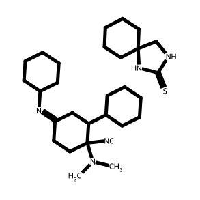 S=C1NCC2(CCCCC2)N1.[C-]#[N+]C1(N(C)C)CCC(=NC2CCCCC2)CC1C1CCCCC1